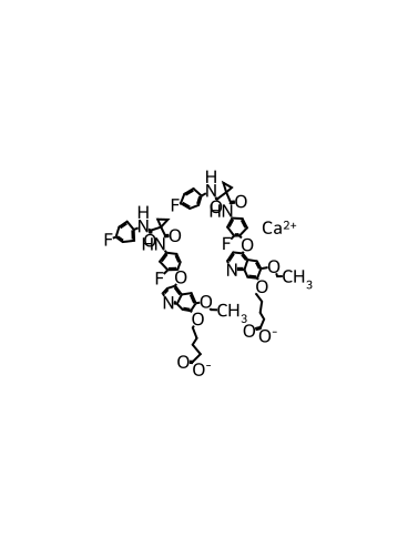 CCOc1cc2c(Oc3ccc(NC(=O)C4(C(=O)Nc5ccc(F)cc5)CC4)cc3F)ccnc2cc1OCCCCC(=O)[O-].CCOc1cc2c(Oc3ccc(NC(=O)C4(C(=O)Nc5ccc(F)cc5)CC4)cc3F)ccnc2cc1OCCCCC(=O)[O-].[Ca+2]